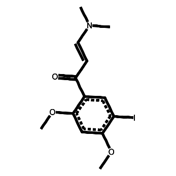 COc1cc(OC)c(C(=O)C=CN(C)C)cc1I